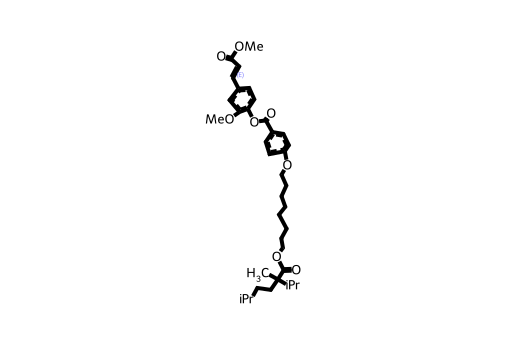 COC(=O)/C=C/c1ccc(OC(=O)c2ccc(OCCCCCCCCOC(=O)C(C)(CCC(C)C)C(C)C)cc2)c(OC)c1